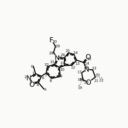 Cc1noc(C)c1-c1ccc2c3cc(C(=O)N4C[C@@H](C)O[C@@H](C)C4)ccc3n(CCF)c2c1